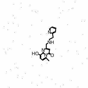 Cc1ccc(O)c2nc(CNCCc3ccccn3)cc(=O)n12